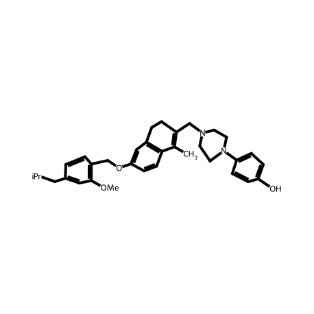 COc1cc(CC(C)C)ccc1COc1ccc2c(c1)CCC(CN1CCN(c3ccc(O)cc3)CC1)=C2C